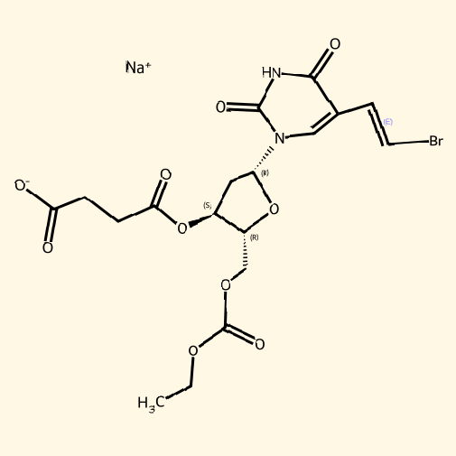 CCOC(=O)OC[C@H]1O[C@@H](n2cc(/C=C/Br)c(=O)[nH]c2=O)C[C@@H]1OC(=O)CCC(=O)[O-].[Na+]